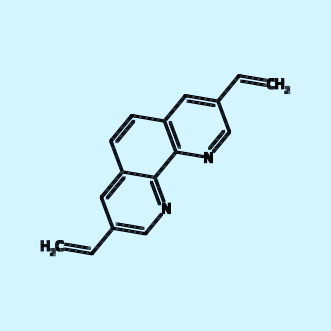 C=Cc1cnc2c(ccc3cc(C=C)cnc32)c1